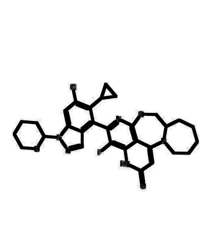 O=c1cc2c3c(nc(-c4c(C5CC5)c(Cl)cc5c4cnn5C4CCCCO4)c(F)c3[nH]1)OCC1CCCCCN21